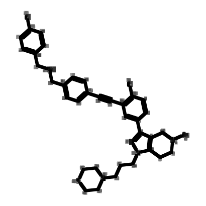 CC(=O)N1CCc2c(c(-c3ccc(Cl)c(C#Cc4ccc(CNCc5ccc(Cl)cc5)cc4)c3)nn2CCCN2CCSCC2)C1